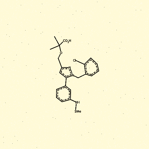 CSNc1cccc(-c2cc(COC(C)(C)C(=O)O)nn2Cc2ccccc2Cl)c1